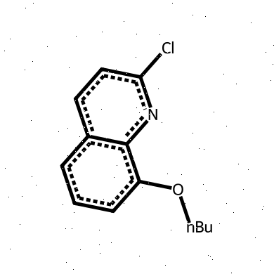 CCCCOc1cccc2ccc(Cl)nc12